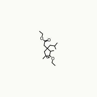 CCOC(=O)CC(CC(C)C)(CC(C)C)C(C)C(=O)OCC